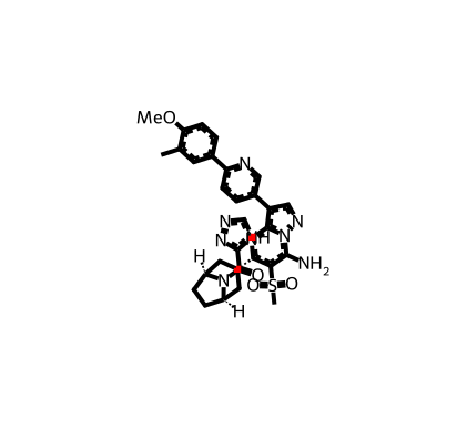 COc1ccc(-c2ccc(-c3cnn4c(N)c(S(C)(=O)=O)c([C@@H]5C[C@H]6CC[C@@H](C5)N6C(=O)c5nnc[nH]5)nc34)cn2)cc1C